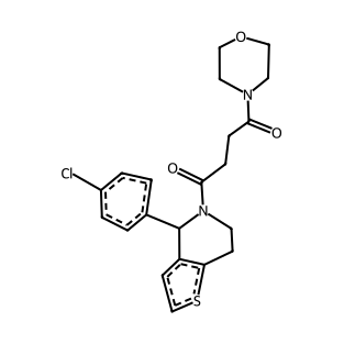 O=C(CCC(=O)N1CCc2sccc2C1c1ccc(Cl)cc1)N1CCOCC1